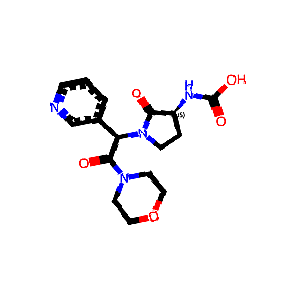 O=C(O)N[C@H]1CCN(C(C(=O)N2CCOCC2)c2cccnc2)C1=O